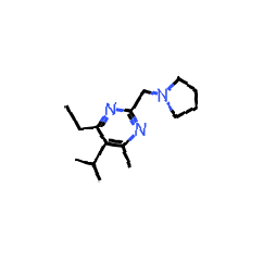 CCc1nc(CN2CCCC2)nc(C)c1C(C)C